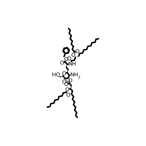 CCCCCCCCCCC[C@H](CC(=O)N[C@@H](CC[C@@H]1O[C@H](CO)[C@@H](O)[C@H](OC(=O)C[C@@H](CCCCCCCCCCC)OC(=O)CCCCCCCCC)[C@H]1N)C(=O)OCc1ccccc1)OC(=O)CCCCCCCCC